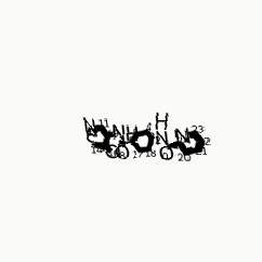 O=C(N[C@H]1CC[C@H](C(=O)Nc2cnccc2Cl)CC1)c1ccccn1